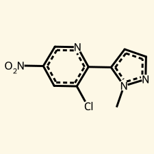 Cn1nccc1-c1ncc([N+](=O)[O-])cc1Cl